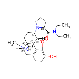 CCN(CC)C(=O)[C@@H]1CCCN1[C@H]1CC[C@H]2[C@H]3Cc4ccc(O)c5c4[C@@]2(CCN3C)[C@H]1O5